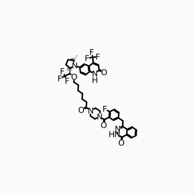 C[C@H]1CC[C@H](C(OCCCCCCC(=O)N2CCN(C(=O)c3cc(Cc4n[nH]c(=O)c5ccccc45)ccc3F)CC2)C(F)(F)F)N1c1ccc2[nH]c(=O)cc(C(F)(F)F)c2c1